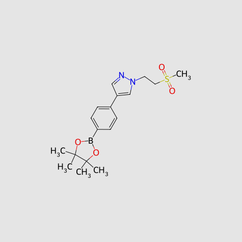 CC1(C)OB(c2ccc(-c3cnn(CCS(C)(=O)=O)c3)cc2)OC1(C)C